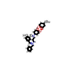 CC(C)(C)C1CCC2(CC1)OOC1(CCC(N(CCCN(Cc3ccccc3)Cc3ccccc3)C(=O)O)CC1)OO2